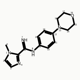 Cn1ccnc1C(=N)Nc1ccc(N2CCOCC2)cc1